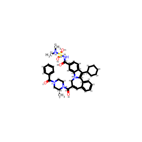 C[C@@H]1CN(C(=O)c2ccccc2)CCN1C(=O)C1=Cc2ccccc2-c2c(C3CCCCC3)c3ccc(C(=O)NS(=O)(=O)N(C)C)cc3n2C1